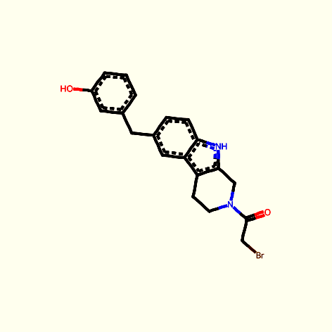 O=C(CBr)N1CCc2c([nH]c3ccc(Cc4cccc(O)c4)cc23)C1